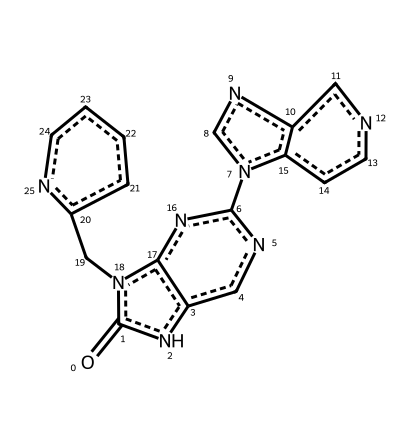 O=c1[nH]c2cnc(-n3cnc4cnccc43)nc2n1Cc1ccccn1